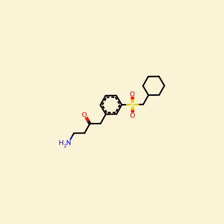 NCCC(=O)Cc1cccc(S(=O)(=O)CC2CCCCC2)c1